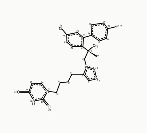 C[C@@](O)(Cn1nncc1CCCCn1ccc(=O)[nH]c1=O)c1ccc(Cl)cc1-c1ccc(F)cc1